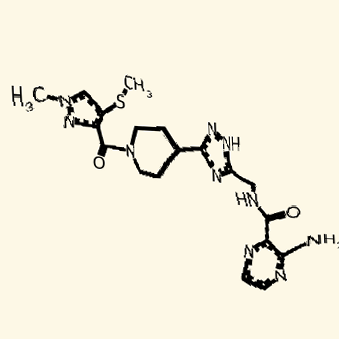 CSc1cn(C)nc1C(=O)N1CCC(c2n[nH]c(CNC(=O)c3nccnc3N)n2)CC1